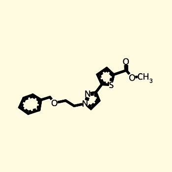 COC(=O)c1ccc(-c2ccn(CCOCc3ccccc3)n2)s1